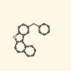 c1ccc(Cc2ccc3oc4ccc5ccccc5c4c3c2)cc1